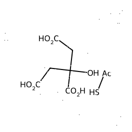 CC(=O)S.O=C(O)CC(O)(CC(=O)O)C(=O)O